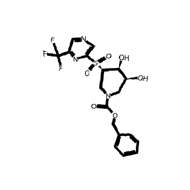 O=C(OCc1ccccc1)N1C[C@H](O)[C@H](O)[C@@H](S(=O)(=O)c2cncc(C(F)(F)F)n2)C1